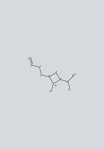 C=CCCC1CC(C(C)F)C1C